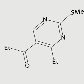 CCC(=O)c1cnc(SC)nc1CC